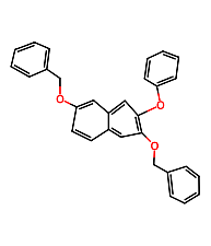 c1ccc(COc2ccc3cc(OCc4ccccc4)c(Oc4ccccc4)cc3c2)cc1